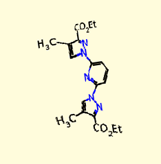 CCOC(=O)c1nn(-c2cccc(-n3cc(C)c(C(=O)OCC)n3)n2)cc1C